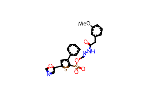 COc1cccc(CC(=O)NN=COS(=O)(=O)c2sc(-c3cnco3)cc2-c2ccccc2)c1